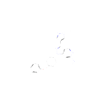 CCNc1cc2c(cn1)c(-c1cnn(C)c1)nn2[C@H]1CC[C@H](Oc2cccc(F)c2)CC1